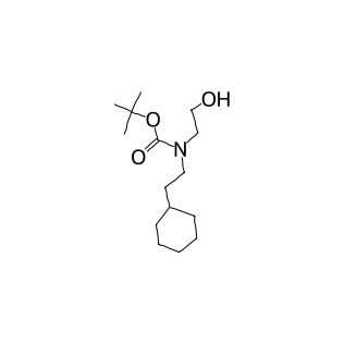 CC(C)(C)OC(=O)N(CCO)CCC1CCCCC1